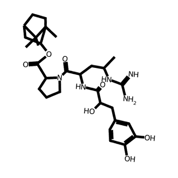 CC(CC(NC(=O)C(O)Cc1ccc(O)c(O)c1)C(=O)N1CCCC1C(=O)OC1CC2CCC1(C)C2(C)C)NC(=N)N